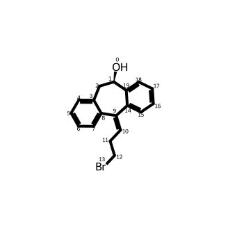 O[C@@H]1Cc2ccccc2C(=CCCBr)c2ccccc21